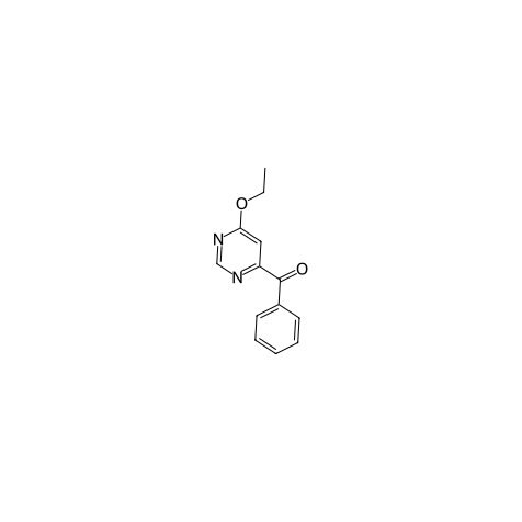 CCOc1cc(C(=O)c2ccccc2)ncn1